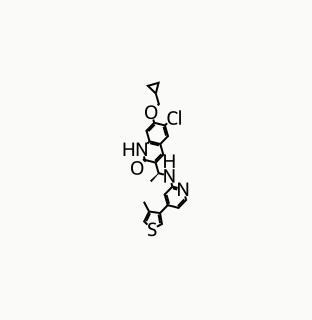 Cc1cscc1-c1ccnc(N[C@@H](C)c2cc3cc(Cl)c(OCC4CC4)cc3[nH]c2=O)c1